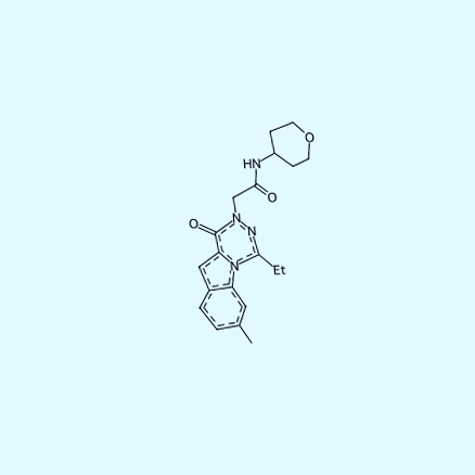 CCc1nn(CC(=O)NC2CCOCC2)c(=O)c2cc3ccc(C)cc3n12